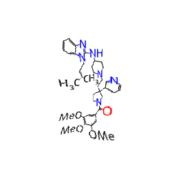 COc1cc(C(=O)N2CCC(CCN3CCC(Nc4nc5ccccc5n4CC=C(C)C)CC3)(c3cccnc3)C2)cc(OC)c1OC